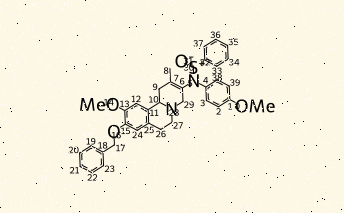 COc1ccc(N(C2=C(C)CC3c4cc(OC)c(OCc5ccccc5)cc4CCN3C2)[S+]([O-])c2ccccc2)cc1